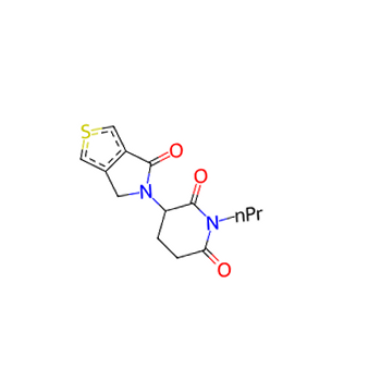 CCCN1C(=O)CCC(N2Cc3cscc3C2=O)C1=O